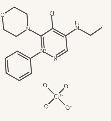 CCNc1cn[n+](-c2ccccc2)c(N2CCOCC2)c1Cl.[O-][Cl+3]([O-])([O-])[O-]